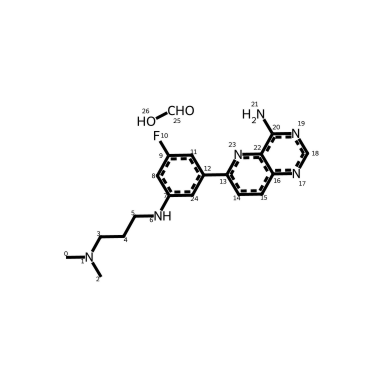 CN(C)CCCNc1cc(F)cc(-c2ccc3ncnc(N)c3n2)c1.O=CO